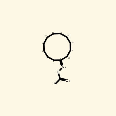 CC(=O)ON=C1CCCCCCCCCCC1